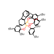 CC(C)(C)c1ccc(OP(Oc2ccc(C(C)(C)C)cc2C(C)(C)C)C2(P(Oc3ccc(C(C)(C)C)cc3C(C)(C)C)Oc3ccc(C(C)(C)C)cc3C(C)(C)C)C=CCC3=C2c2ccccc23)c(C(C)(C)C)c1